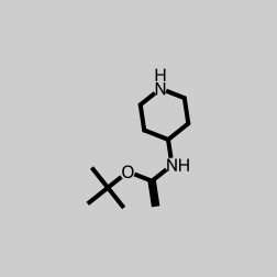 C=C(NC1CCNCC1)OC(C)(C)C